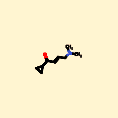 CN(C)C/C=C/C(=O)C1CC1